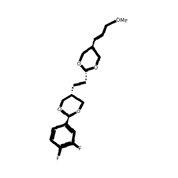 COCCC[C@H]1CO[C@H](CC[C@H]2CO[C@H](c3ccc(F)c(F)c3)OC2)OC1